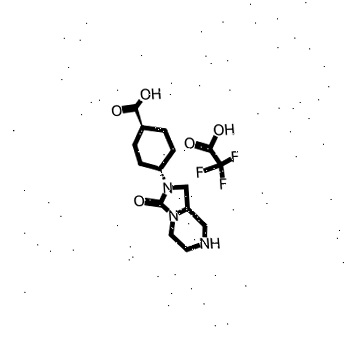 O=C(O)C(F)(F)F.O=C1N2CCNCC2CN1[C@H]1CC[C@H](C(=O)O)CC1